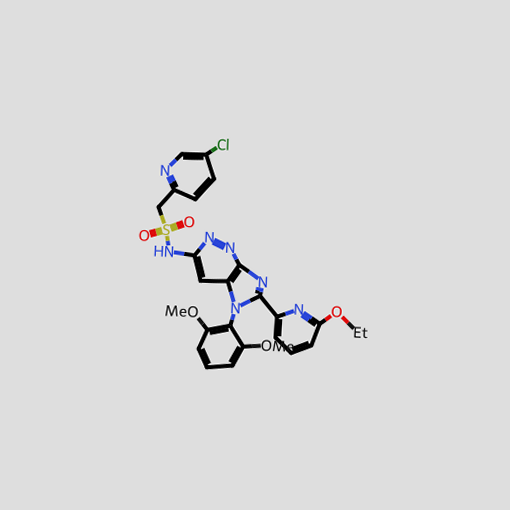 CCOc1cccc(-c2nc3nnc(NS(=O)(=O)Cc4ccc(Cl)cn4)cc3n2-c2c(OC)cccc2OC)n1